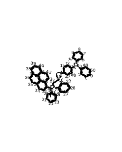 c1ccc(P(c2ccccc2)c2ccc(OCC[PH](c3ccccc3)(c3ccccc3)c3ccc4ccc5cccc6ccc3c4c56)cc2)cc1